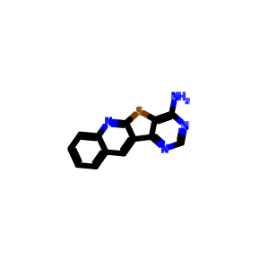 Nc1ncnc2c1sc1nc3ccccc3cc12